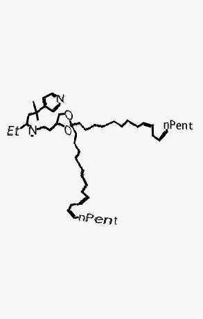 CCCCC/C=C\C/C=C\CCCCCCCCC1(CCCCCCCC/C=C\C/C=C\CCCCC)OCC(CCN(C)C(CC)CC(C)(C)c2ccncc2)O1